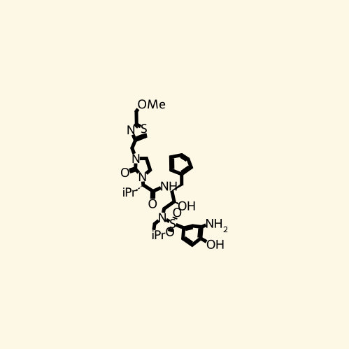 COCc1nc(CN2CCN([C@H](C(=O)N[C@@H](Cc3ccccc3)[C@H](O)CN(CC(C)C)S(=O)(=O)c3ccc(O)c(N)c3)C(C)C)C2=O)cs1